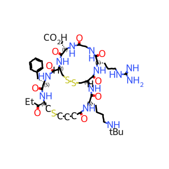 CCC(=O)[C@@H]1CSCCCC(=O)N[C@@H](CCCCNC(C)(C)C)C(=O)N[C@H]2CSSC[C@H](NC(=O)[C@H](CC(=O)O)NC(=O)CNC(=O)[C@H](CCCNC(=N)N)NC2=O)C(=O)N[C@@H](Cc2ccccc2)C(=O)N1